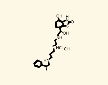 C[C@H](CNCCCSCCNC[C@H](O)c1ccc(O)c2[nH]c(=O)sc12)c1ccccc1.Cl.Cl